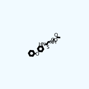 CC(=O)OONCC(=S)Nc1ccc(Oc2ccccc2)cc1